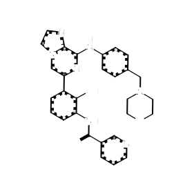 Cc1c(NC(=O)c2cccnc2)cccc1-c1cn2ccnc2c(Nc2ccc(CN3CCOCC3)cc2)n1